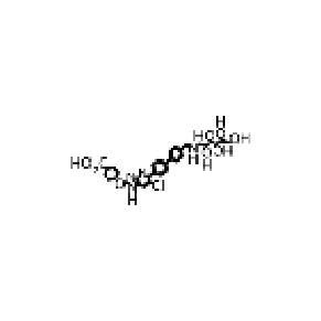 O=C(O)C1CCC(Oc2nc3nc(-c4ccc(-c5ccc(CNC[C@H](O)[C@@H](O)[C@H](O)[C@H](O)CO)cc5)cc4)c(Cl)cc3[nH]2)CC1